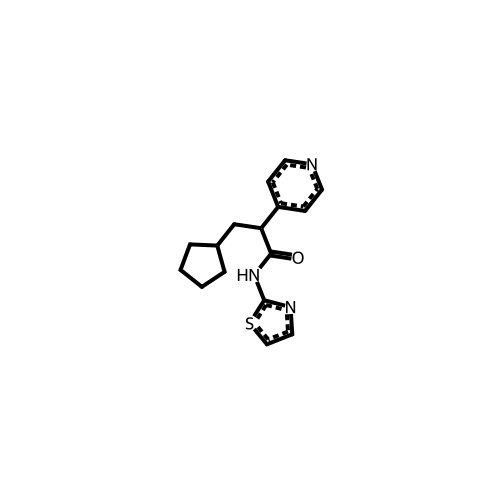 O=C(Nc1nccs1)C(CC1CCCC1)c1ccncc1